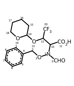 O=CN(OCc1ccccc1)C(C(=O)O)C(OC1CCCCO1)C(F)(F)F